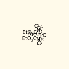 CCOC(=O)CN1C(=CC2=C(OC)C(C3=[N+](CC(=O)OCC)c4ccccc4C3(C)C)C2=O)C(C)(C)c2ccccc21